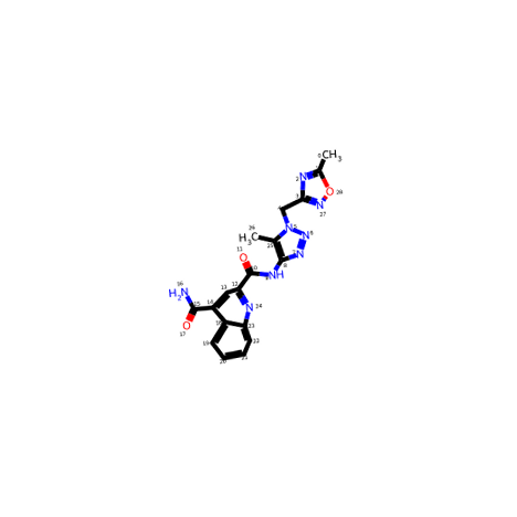 Cc1nc(Cn2nnc(NC(=O)c3cc(C(N)=O)c4ccccc4n3)c2C)no1